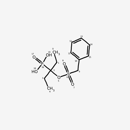 CCC(CC)(OS(=O)(=O)Cc1ccccc1)P(=O)(O)O